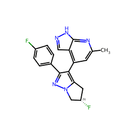 Cc1cc(-c2c(-c3ccc(F)cc3)nn3c2C[C@H](F)C3)c2cn[nH]c2n1